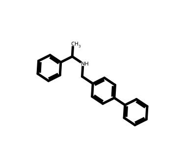 CC(NCc1ccc(-c2ccccc2)cc1)c1ccccc1